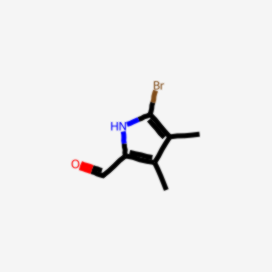 Cc1c(Br)[nH]c(C=O)c1C